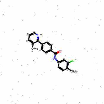 COc1ccc(NC(=O)c2ccc(-c3ncccc3OC)cc2)cc1Cl